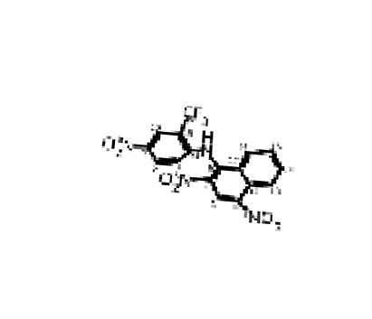 O=[N+]([O-])c1ccc(Nc2c([N+](=O)[O-])cc([N+](=O)[O-])c3ccccc23)c(C(F)(F)F)c1